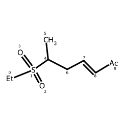 CCS(=O)(=O)C(C)CC=CC(C)=O